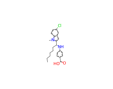 CCCCCCC(Nc1ccc(C(=O)O)cc1)c1cc2cc(Cl)ccc2n1C